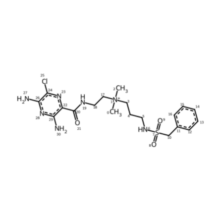 C[N+](C)(CCCNS(=O)(=O)Cc1ccccc1)CCNC(=O)c1nc(Cl)c(N)nc1N